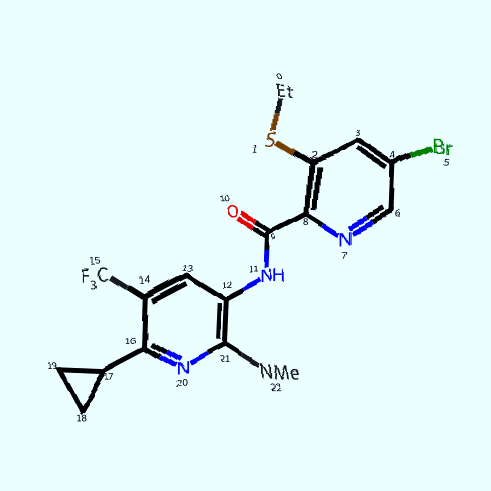 CCSc1cc(Br)cnc1C(=O)Nc1cc(C(F)(F)F)c(C2CC2)nc1NC